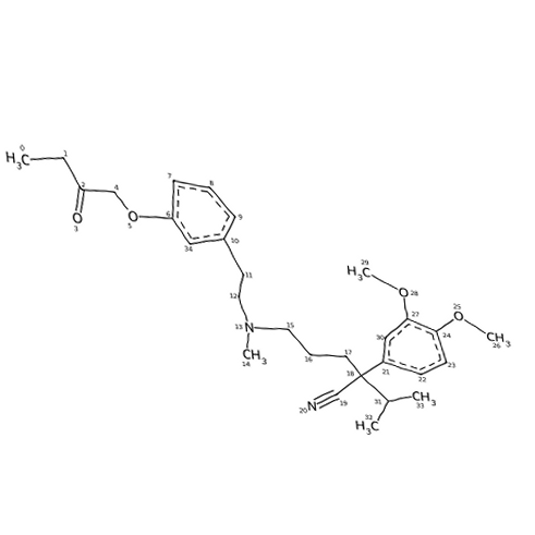 CCC(=O)COc1cccc(CCN(C)CCCC(C#N)(c2ccc(OC)c(OC)c2)C(C)C)c1